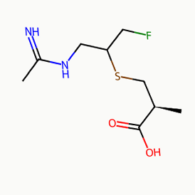 CC(=N)NCC(CF)SC[C@@H](C)C(=O)O